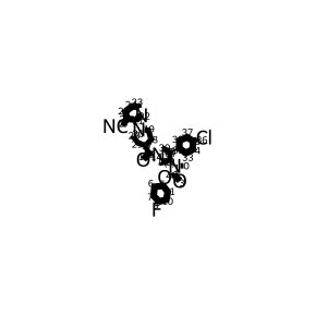 CN(C(=O)Oc1ccc(F)cc1)[C@@H]1CN(C(=O)C2CCN(c3ncccc3C#N)CC2)C[C@H]1c1ccc(Cl)cc1